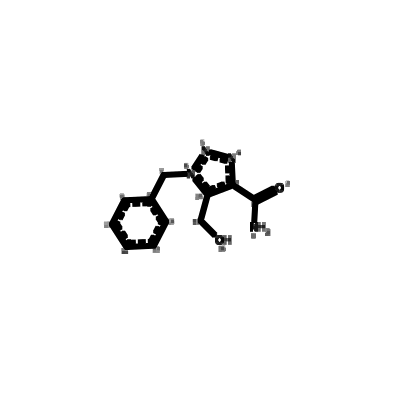 NC(=O)c1nnn(Cc2ccccc2)c1CO